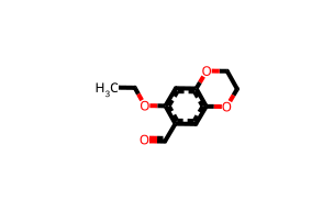 CCOc1cc2c(cc1C=O)OCCO2